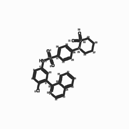 O=S(=O)(Nc1ccc(Cl)c(-c2nccc3ccccc23)c1)c1ccc(N2CCCCS2(=O)=O)cc1